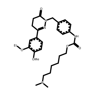 CCOc1cc(C2=NN(Cc3ccc(NC(=O)OCCCCCCN(C)C)cc3)C(=O)CC2)ccc1OC